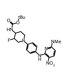 CNc1ccc([N+](=O)[O-])c(Nc2ccc(N3CCC(NC(=O)OC(C)(C)C)C(F)C3)cc2)n1